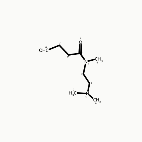 CN(C)CCN(C)C(=O)CCC=O